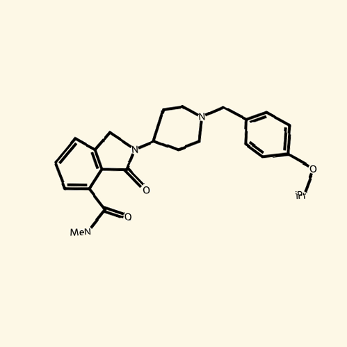 CNC(=O)c1cccc2c1C(=O)N(C1CCN(Cc3ccc(OC(C)C)cc3)CC1)C2